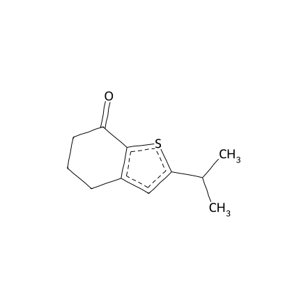 CC(C)c1cc2c(s1)C(=O)CCC2